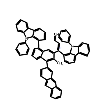 C=C/C=C(\c1cc2c(-c3cccc4c5ccccc5n(-c5ccccc5)c34)cccc2c(-c2ccc3cc4ccccc4cc3c2)c1C)c1cccc2c3ccccc3n(-c3ccccc3)c12